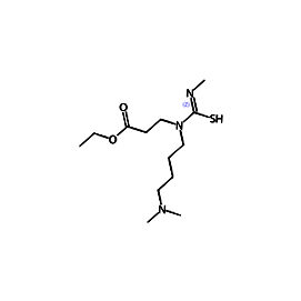 CCOC(=O)CCN(CCCCN(C)C)/C(S)=N/C